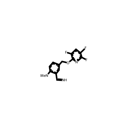 CNc1ccc(COc2nc(F)c(F)cc2F)cc1C=N